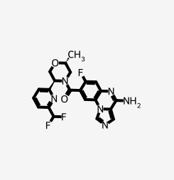 C[C@@H]1CN(C(=O)c2cc3c(cc2F)nc(N)c2cncn23)[C@@H](c2cccc(C(F)F)n2)CO1